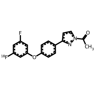 CC(=O)n1ccc(-c2ccc(Oc3cc(F)cc([18F])c3)cc2)n1